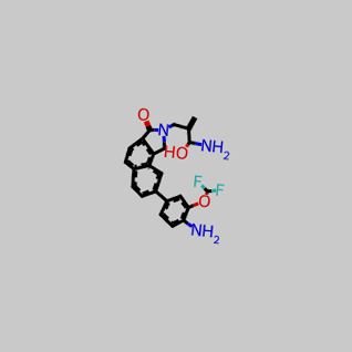 C=C(CN1Cc2c(ccc3ccc(-c4ccc(N)c(OC(F)F)c4)cc23)C1=O)C(N)O